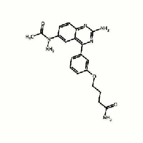 CC(=O)N(N)c1ccc2nc(N)nc(-c3cccc(OCCCC(N)=O)c3)c2c1